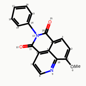 COc1ccc2c3c(ccnc13)C(=O)N(c1ccccc1)C2=O